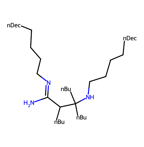 CCCCCCCCCCCCCCN=C(N)C(CCCC)C(CCCC)(CCCC)NCCCCCCCCCCCCCC